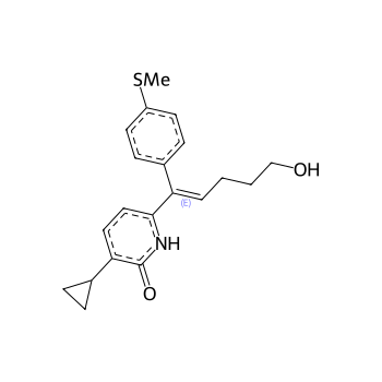 CSc1ccc(/C(=C\CCCO)c2ccc(C3CC3)c(=O)[nH]2)cc1